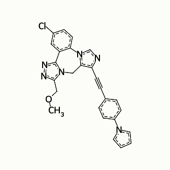 COCc1nnc2n1Cc1c(C#Cc3ccc(-n4cccc4)cc3)ncn1-c1ccc(Cl)cc1-2